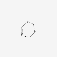 [C]1CC=CSC1